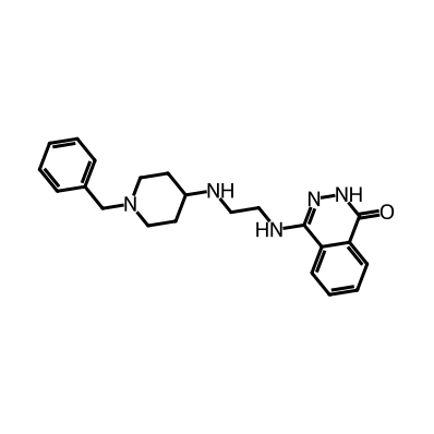 O=c1[nH]nc(NCCNC2CCN(Cc3ccccc3)CC2)c2ccccc12